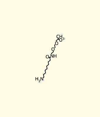 CC(=O)COCCOCCNC(=O)CCCCCCCCCN